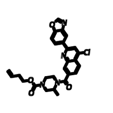 C=CCCOC(=O)N1CCN(C(=O)c2ccc3c(Cl)cc(-c4ccc5ocnc5c4)nc3c2)C(C)C1